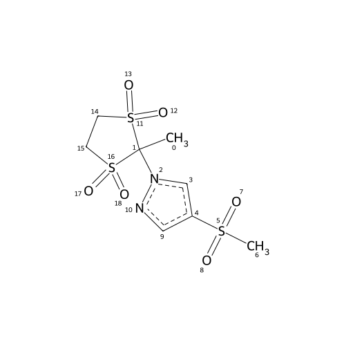 CC1(n2cc(S(C)(=O)=O)cn2)S(=O)(=O)CCS1(=O)=O